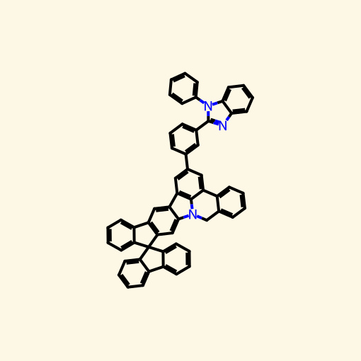 c1ccc(-n2c(-c3cccc(-c4cc5c6c(c4)c4cc7c(cc4n6Cc4ccccc4-5)C4(c5ccccc5-c5ccccc54)c4ccccc4-7)c3)nc3ccccc32)cc1